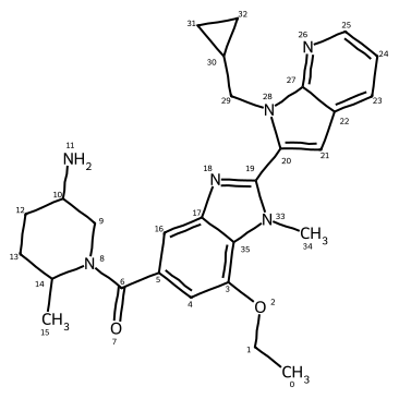 CCOc1cc(C(=O)N2CC(N)CCC2C)cc2nc(-c3cc4cccnc4n3CC3CC3)n(C)c12